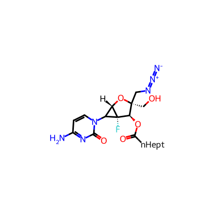 CCCCCCCC(=O)O[C@@H]1[C@](CO)(CN=[N+]=[N-])O[C@H]2C(n3ccc(N)nc3=O)[C@]12F